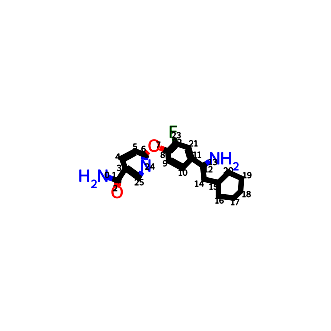 NC(=O)c1ccc(Oc2ccc(C(N)CC3CCCCC3)cc2F)nc1